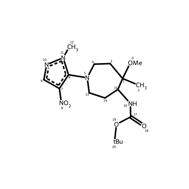 COC1(C)CCN(c2c([N+](=O)[O-])cnn2C)CCC1NC(=O)OC(C)(C)C